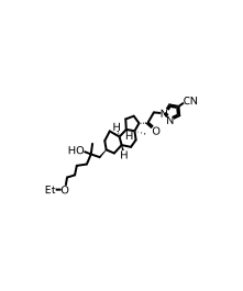 CCOCCCCC(C)(O)C[C@H]1CC[C@@H]2[C@H](CC[C@]3(C)[C@@H](C(=O)Cn4cc(C#N)cn4)CC[C@@H]23)C1